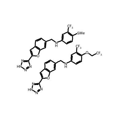 CSc1ccc(NCc2ccc3cc(-c4nn[nH]n4)oc3c2)cc1C(F)(F)F.FC(F)(F)COc1ccc(NCc2ccc3cc(-c4nn[nH]n4)oc3c2)cc1C(F)(F)F